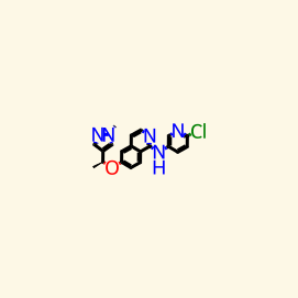 C[C@H](Oc1ccc2c(Nc3ccc(Cl)nc3)nccc2c1)c1cnn(C)c1